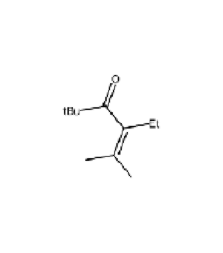 CCC(C(=O)C(C)(C)C)=C(C)C